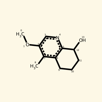 COc1cnc2c(c1C)CCCC2O